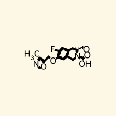 Cc1ncoc1COc1cc2c(cc1F)C[C@@H](C=O)N(C(=O)O)C2